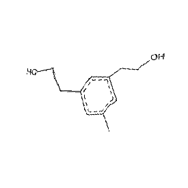 Cc1cc(CCO)cc(CCO)c1